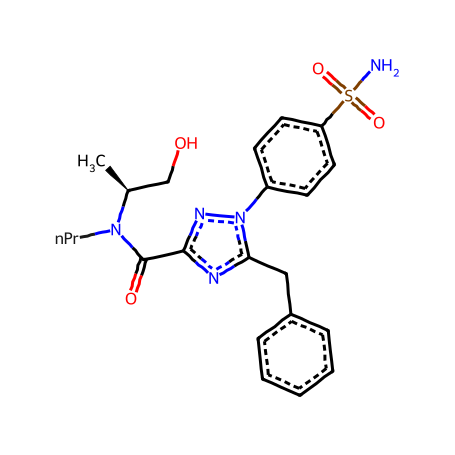 CCCN(C(=O)c1nc(Cc2ccccc2)n(-c2ccc(S(N)(=O)=O)cc2)n1)[C@@H](C)CO